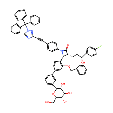 O=C1[C@H](CC[C@H](O)c2ccc(F)cc2)[C@@H](c2ccc(-c3cccc([C@@H]4O[C@H](CO)[C@@H](O)[C@H](O)[C@H]4O)c3)cc2OCc2ccccc2)N1c1ccc(C#Cc2ncn(C(c3ccccc3)(c3ccccc3)c3ccccc3)n2)cc1